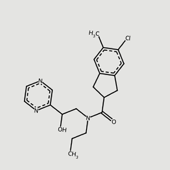 CCCN(CC(O)c1cnccn1)C(=O)C1Cc2cc(C)c(Cl)cc2C1